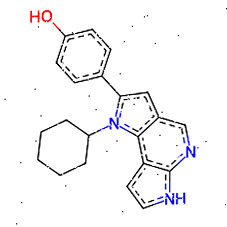 Oc1ccc(-c2cc3cnc4[nH]ccc4c3n2C2CCCCC2)cc1